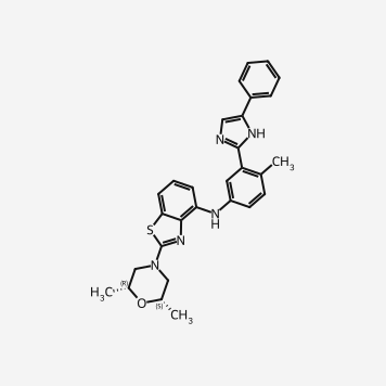 Cc1ccc(Nc2cccc3sc(N4C[C@@H](C)O[C@@H](C)C4)nc23)cc1-c1ncc(-c2ccccc2)[nH]1